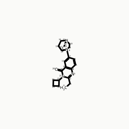 CCc1nc2ccc(N3CCN4CCC3CC4)cc2c(=O)n1C1CCC1